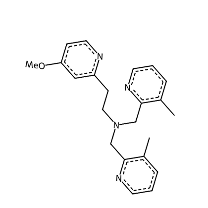 COc1ccnc(CCN(Cc2ncccc2C)Cc2ncccc2C)c1